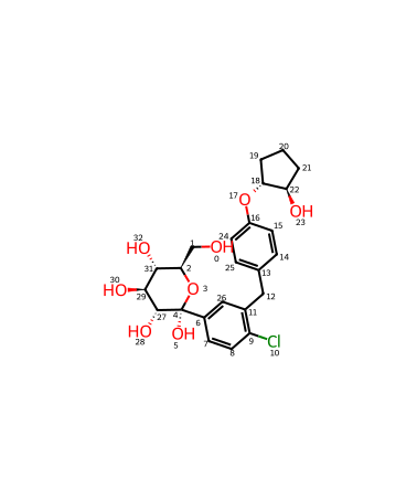 OC[C@H]1O[C@@](O)(c2ccc(Cl)c(Cc3ccc(O[C@@H]4CCC[C@H]4O)cc3)c2)[C@H](O)[C@@H](O)[C@@H]1O